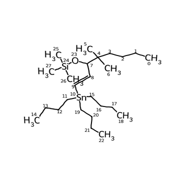 CCCCC(C)(C)C(/C=[CH]/[Sn]([CH2]CCC)([CH2]CCC)[CH2]CCC)O[Si](C)(C)C